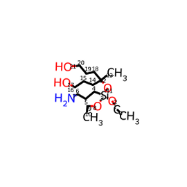 CCO[Si](CCCN)(OCC)OC(C)(CCCO)CCCO